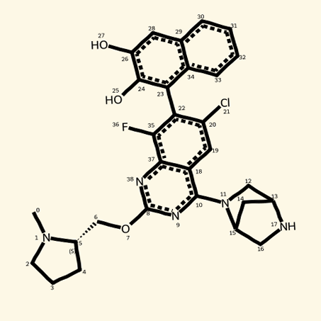 CN1CCC[C@H]1COc1nc(N2CC3CC2CN3)c2cc(Cl)c(-c3c(O)c(O)cc4ccccc34)c(F)c2n1